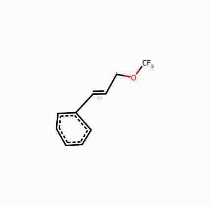 FC(F)(F)O[CH]/C=C/c1ccccc1